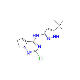 CC(C)(C)c1cc(NC2=NC(Cl)=NN3CCC=C23)n[nH]1